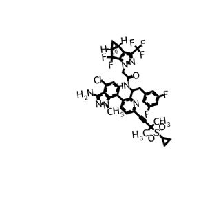 Cn1nc(N)c2c(Cl)ccc(-c3ccc(C#CC(C)(C)S(=O)(=O)C4CC4)nc3C(Cc3cc(F)cc(F)c3)NC(=O)Cn3nc(C(F)(F)F)c4c3C(F)(F)[C@@H]3C[C@H]43)c21